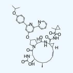 CC(C)Oc1ccc(-c2cc(O[C@@H]3C[C@H]4C(=O)N[C@]5(C(=O)NS(=O)(=O)C6(C)CC6)C[C@H]5C=CCC[C@@H](C)C[C@@H](C)[C@H](NC(=O)O)C(=O)N4C3)cc(-c3ccccn3)n2)cc1